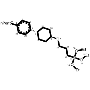 CCCCCc1ccc([C@H]2CC[C@H](OCCC[Si](OCC)(OCC)OCC)CC2)cc1